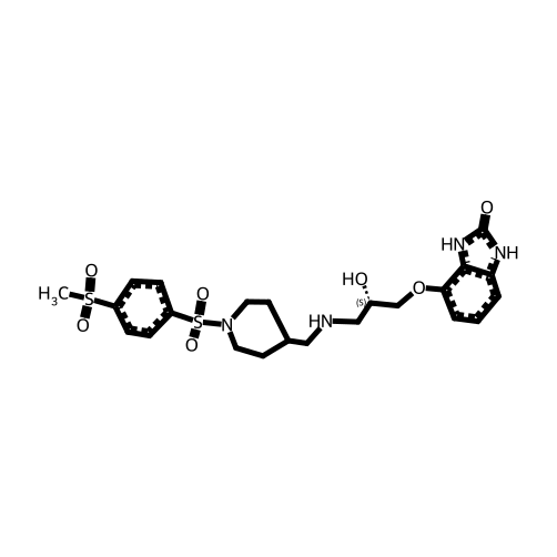 CS(=O)(=O)c1ccc(S(=O)(=O)N2CCC(CNC[C@H](O)COc3cccc4[nH]c(=O)[nH]c34)CC2)cc1